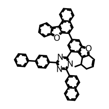 CC1CC=Cc2oc3cc(-c4cc5ccccc5c5c4oc4ccccc45)cc(-c4nc(-c5ccc(-c6ccccc6)cc5)nc(-c5ccc6ccccc6c5)n4)c3c21